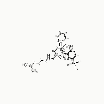 CN(C)CCCCNC[C@H]1CC[C@@H]2[C@H](O1)c1cc(C(F)(F)F)ccc1N[C@H]2C1C=CC=CC1